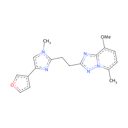 COc1ccc(C)n2nc(CCc3nc(-c4ccoc4)cn3C)nc12